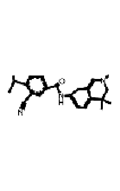 CC(C)c1ccc(C(=O)NC2=CC=C3C(=CN(C)CC3(C)C)C2)cc1C#N